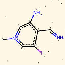 C[n+]1cc(N)c(C=N)c(I)c1